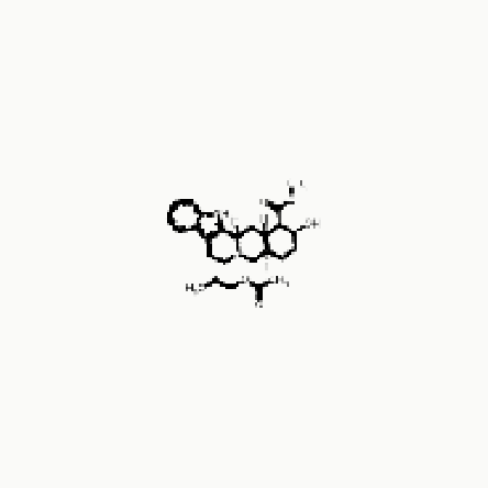 CCCOC(C)=O.COC(=O)[C@@H]1[C@H]2C[C@H]3c4[nH]c5ccccc5c4CCN3C[C@@H]2CC[C@@H]1O